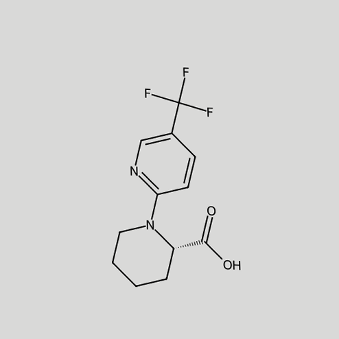 O=C(O)[C@@H]1CCCCN1c1ccc(C(F)(F)F)cn1